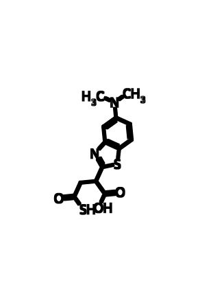 CN(C)c1ccc2sc(C(CC(=O)S)C(=O)O)nc2c1